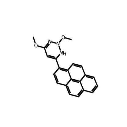 COC1=NN(OC)NC(c2ccc3ccc4cccc5ccc2c3c45)=C1